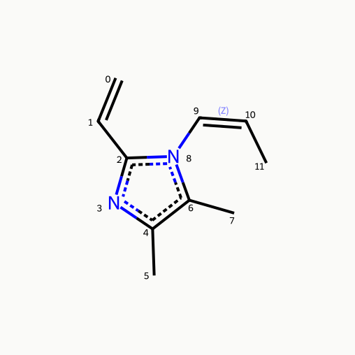 C=Cc1nc(C)c(C)n1/C=C\C